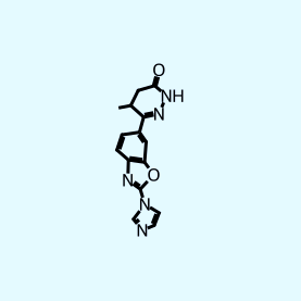 CC1CC(=O)NN=C1c1ccc2nc(-n3ccnc3)oc2c1